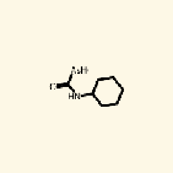 O=C([AsH])NC1CCCCC1